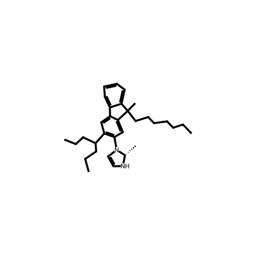 CCCCCCCC1(C)c2ccccc2-c2cc(C(CCC)CCC)c(N3C=CN[C@H]3C)cc21